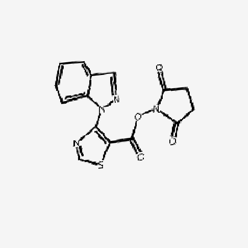 O=C(ON1C(=O)CCC1=O)c1scnc1-n1ncc2ccccc21